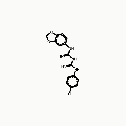 N=C(NC(=N)Nc1ccc2c(c1)OCO2)Nc1ccc(Cl)cc1